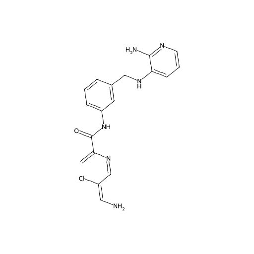 C=C(/N=C\C(Cl)=C/N)C(=O)Nc1cccc(CNc2cccnc2N)c1